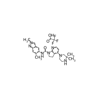 Cc1cc2nn(C)cc2cc1NC(=O)N1CCc2c(N3CCNC(C)(C)C3)ccnc21.O=C(O)C(F)(F)F